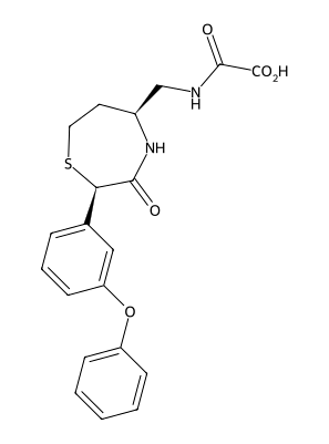 O=C(O)C(=O)NC[C@@H]1CCS[C@H](c2cccc(Oc3ccccc3)c2)C(=O)N1